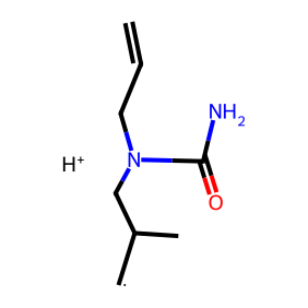 [CH2]C(C)CN(CC=C)C(N)=O.[H+]